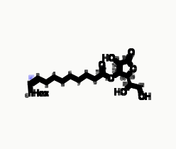 CCCCCC/C=C\CCCCCCCC(=O)OC1=C(O)C(=O)O[C@H]1C(O)CO